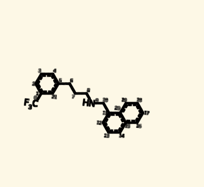 FC(F)(F)c1cccc(CCCNCc2cccc3ccccc23)c1